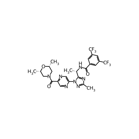 Cc1nc([C@H](C)NC(=O)c2cc(C(F)(F)F)cc(C(F)(F)F)c2)n(-c2cnc(C(=O)N3C[C@@H](C)O[C@@H](C)C3)cn2)n1